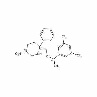 C[C@@H](OC[C@@]1(c2ccccc2)CC[C@@H]([N+](=O)[O-])CN1)c1cc(C(F)(F)F)cc(C(F)(F)F)c1